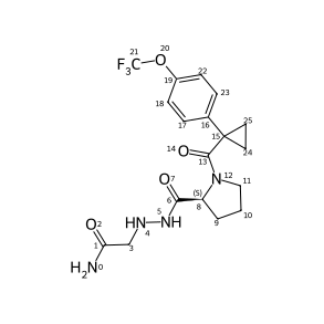 NC(=O)CNNC(=O)[C@@H]1CCCN1C(=O)C1(c2ccc(OC(F)(F)F)cc2)CC1